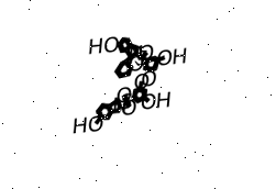 O=S(=O)(c1cc(O)cc(OOc2cc(O)cc(S(=O)(=O)N3Cc4ccc(O)cc4C3c3ccccc3)c2)c1)N1Cc2ccc(O)cc2C1